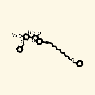 COc1ccc(-c2oc3ccc(C#CCCCCCCCCCCOCc4ccccc4)cc3c(=O)c2O)cc1OCc1ccccc1